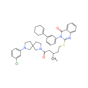 CC(CCSc1nc2ccccc2c(=O)n1-c1cccc(C2=CCCCC2)c1)CC(=O)N1CCC2(CCN(c3cccc(Cl)c3)C2)C1